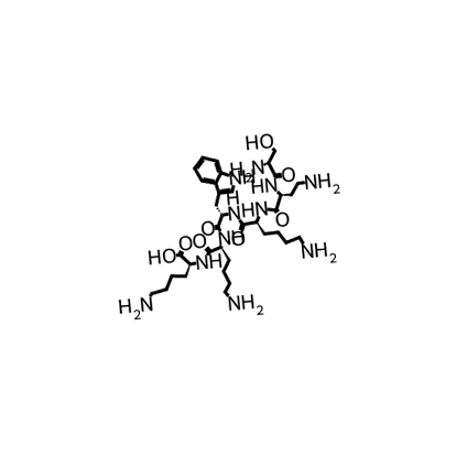 NCCCC[C@H](NC(=O)[C@H](CCCCN)NC(=O)[C@H](Cc1c[nH]c2ccccc12)NC(=O)[C@H](CCCCN)NC(=O)[C@H](CCN)NC(=O)[C@@H](N)CO)C(=O)O